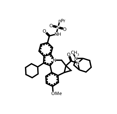 CCCS(=O)(=O)NC(=O)c1ccc2c(C3CCCCC3)c3n(c2c1)CC1(C(=O)N2C4CCCC2N(C)C4)CC1c1cc(OC)ccc1-3